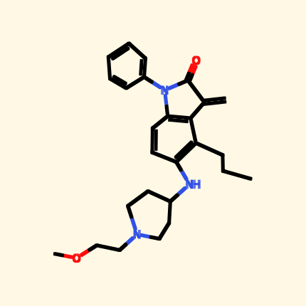 C=C1C(=O)N(c2ccccc2)c2ccc(NC3CCN(CCOC)CC3)c(CCC)c21